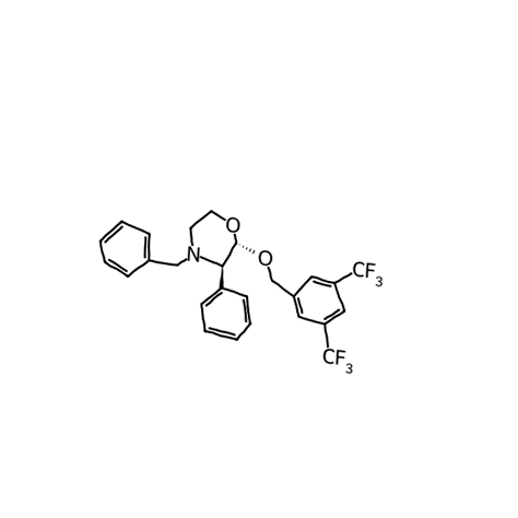 FC(F)(F)c1cc(CO[C@H]2OCCN(Cc3ccccc3)[C@@H]2c2ccccc2)cc(C(F)(F)F)c1